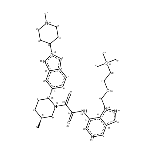 C[C@H]1CC[C@H](c2ccc3cn(C4CCN(C)CC4)nc3c2)N(C(=O)C(=O)Nc2cncc3cnn(COCC[Si](C)(C)C)c23)C1